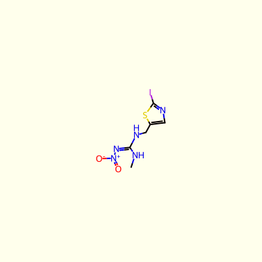 CN/C(=N\[N+](=O)[O-])NCc1cnc(I)s1